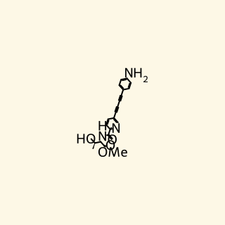 COC(=O)[C@@H](NC(=O)c1ccc(C#CC#Cc2ccc(N)cc2)cn1)[C@@H](C)O